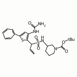 C=CC(c1sc(-c2ccccc2)cc1NC(N)=O)S(=O)(=O)NC1CCCN(C(=O)OC(C)(C)C)C1